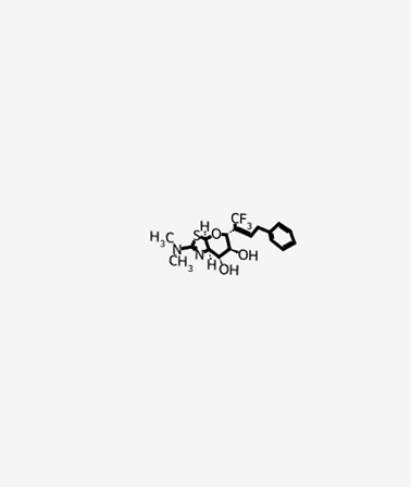 CN(C)C1=N[C@@H]2[C@@H](O)[C@H](O)[C@@H](C(=CCc3ccccc3)C(F)(F)F)O[C@@H]2S1